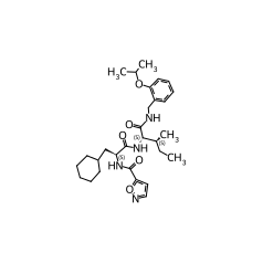 CC[C@H](C)[C@H](NC(=O)[C@H](CC1CCCCC1)NC(=O)c1ccno1)C(=O)NCc1ccccc1OC(C)C